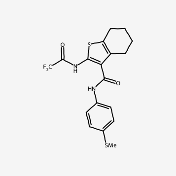 CSc1ccc(NC(=O)c2c(NC(=O)C(F)(F)F)sc3c2CCCC3)cc1